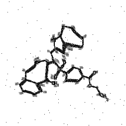 CCOC(=O)c1ccc(S(=O)(=O)N(Cc2cc3ccccc3[nH]2)c2ncc3ccccc3c2C)cc1